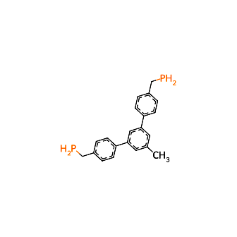 Cc1cc(-c2ccc(CP)cc2)cc(-c2ccc(CP)cc2)c1